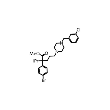 COC(=O)C(CCCN1CCN(Cc2cccc(Cl)c2)CC1)(c1ccc(Br)cc1)C(C)C